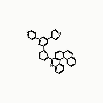 c1cc(-c2cc(-c3ccncc3)cc(-c3ccncc3)c2)cc(-c2nc3ccccc3c3c2ccc2ccc4ncccc4c23)c1